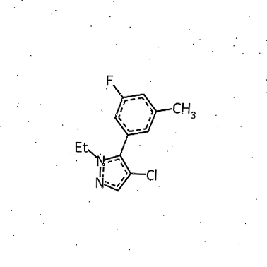 CCn1ncc(Cl)c1-c1cc(C)cc(F)c1